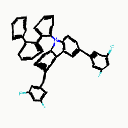 Fc1cc(F)cc(-c2ccc3c(c2)c2cc(-c4cc(F)cc(F)c4)ccc2n3-c2ccccc2-c2ccccc2-c2ccccc2)c1